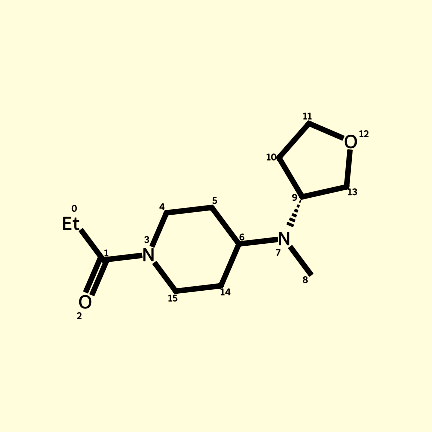 CCC(=O)N1CCC(N(C)[C@@H]2CCOC2)CC1